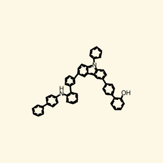 Oc1ccccc1-c1ccc(-c2ccc3c(c2)c2cc(-c4cccc(-c5ccccc5Nc5ccc(-c6ccccc6)cc5)c4)ccc2n3-c2ccccc2)cc1